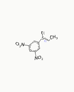 C/C=S(\CC)c1cc([N+](=O)[O-])cc([N+](=O)[O-])c1